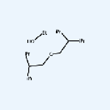 CC(C)C(COCC(C(C)C)C(C)C)C(C)C.CCO